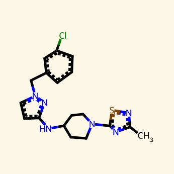 Cc1nsc(N2CCC(Nc3ccn(Cc4cccc(Cl)c4)n3)CC2)n1